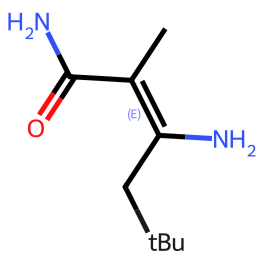 C/C(C(N)=O)=C(\N)CC(C)(C)C